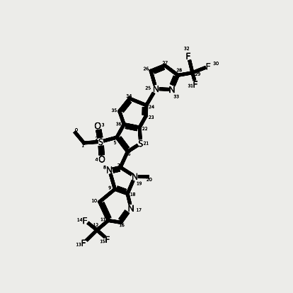 CCS(=O)(=O)c1c(-c2nc3cc(C(F)(F)F)cnc3n2C)sc2cc(-n3ccc(C(F)(F)F)n3)ccc12